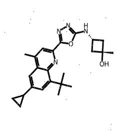 Cc1cc(-c2nnc(N[C@H]3C[C@@](C)(O)C3)o2)nc2c(C(C)(C)C)cc(C3CC3)cc12